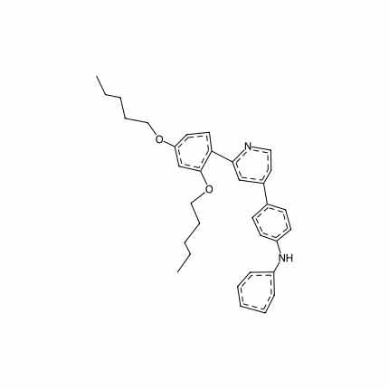 CCCCCOc1ccc(-c2cc(-c3ccc(Nc4ccccc4)cc3)ccn2)c(OCCCCC)c1